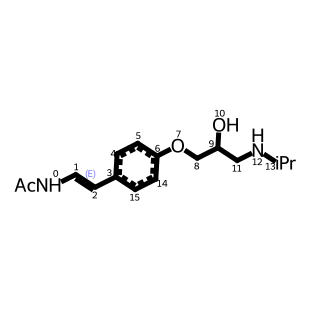 CC(=O)N/C=C/c1ccc(OCC(O)CNC(C)C)cc1